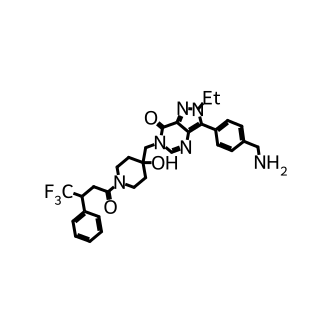 CCn1nc2c(=O)n(CC3(O)CCN(C(=O)CC(c4ccccc4)C(F)(F)F)CC3)cnc2c1-c1ccc(CN)cc1